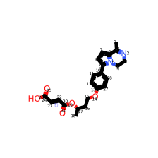 CC1=NCCn2c1ccc2-c1ccc(OCCC(C)OC(=O)/C=C/C(=O)O)cc1